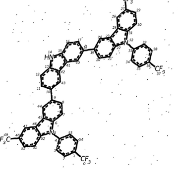 FC(F)(F)c1ccc(-n2c3ccc(-c4ccc5[nH]c6ccc(-c7ccc8c(c7)c7cc(C(F)(F)F)ccc7n8-c7ccc(C(F)(F)F)cc7)cc6c5c4)cc3c3cc(C(F)(F)F)ccc32)cc1